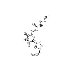 COC[C@@H]1CC[C@H](n2cc(/C=C/C(=O)NCCO)c(=O)[nH]c2=O)O1